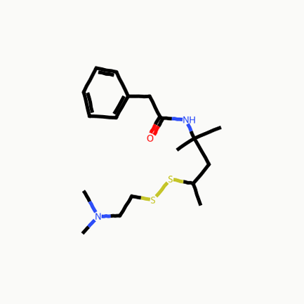 CC(CC(C)(C)NC(=O)Cc1ccccc1)SSCCN(C)C